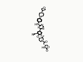 N#Cc1cc(-c2ncnc(Nc3ccc(N4CCN(C5COC5)CC4)cc3)n2)ccc1O[C@H]1CCN(C(=O)C[C@@H]2COC(=O)N2)CC1(F)F